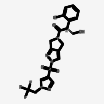 O=C([C@@H](CO)c1ccccc1Cl)N1Cc2cn(S(=O)(=O)c3cnn(CC(F)(F)F)c3)nc2C1